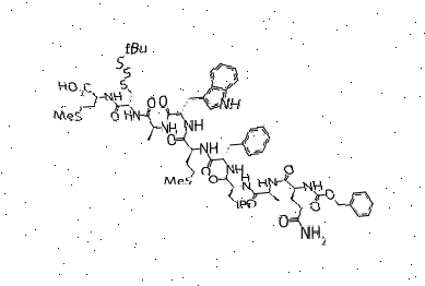 CSCC[C@H](NC(=O)[C@H](CSSSC(C)(C)C)NC(=O)[C@H](C)NC(=O)[C@H](Cc1c[nH]c2ccccc12)NC(=O)[C@H](CCSC)NC(=O)[C@H](Cc1ccccc1)NC(=O)[C@H](CC(C)C)NC(=O)[C@H](C)NC(=O)[C@H](CCC(N)=O)NC(=O)OCc1ccccc1)C(=O)O